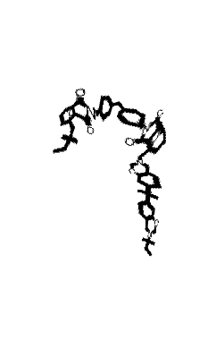 CCC(C)(C)CC12C=CC(O1)C1C(=O)N(c3ccc(Cc4ccc(N5C(=O)C6C7CCC(CN8COc9cc(C(C)(C)c%10ccc%11c(c%10)OCN(C(C)(C)CC)C%11)ccc9C8)(O7)C6C5=O)cc4)cc3)C(=O)C12